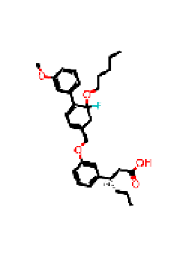 CCCCCOC1(F)CC(COc2cccc([C@@H](CCC)CC(=O)O)c2)=CC=C1c1cccc(OC)c1